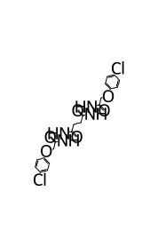 O=C(CCC(=O)NNC(=O)COc1ccc(Cl)cc1)NNC(=O)COc1ccc(Cl)cc1